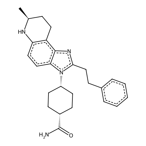 C[C@H]1CCc2c(ccc3c2nc(CCc2ccccc2)n3[C@H]2CC[C@@H](C(N)=O)CC2)N1